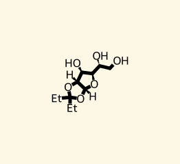 CCC1(CC)O[C@H]2O[C@H]([C@H](O)CO)[C@H](O)[C@H]2O1